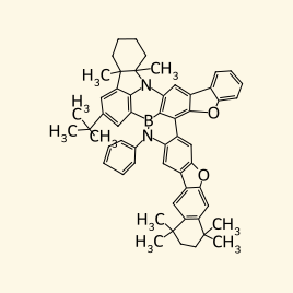 CC(C)(C)c1cc2c3c(c1)C1(C)CCCCC1(C)N3c1cc3c(oc4ccccc43)c3c1B2N(c1ccccc1)c1cc2c(cc1-3)oc1cc3c(cc12)C(C)(C)CCC3(C)C